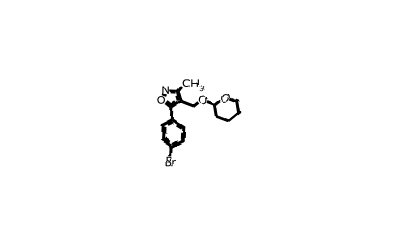 Cc1noc(-c2ccc(Br)cc2)c1COC1CCCCO1